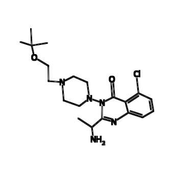 CC(N)c1nc2cccc(Cl)c2c(=O)n1N1CCN(CCOC(C)(C)C)CC1